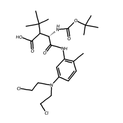 Cc1ccc(N(CCCl)CCCl)cc1NC(=O)[C@@H](NC(=O)OC(C)(C)C)C(C(=O)O)C(C)(C)C